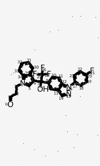 O=CCCn1cc(C(O)(c2ccc3c(cnn3-c3ccc(F)cc3)c2)C(F)(F)F)c2ccccc21